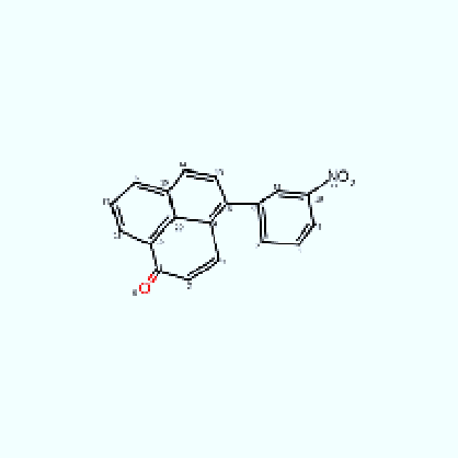 O=C1C=Cc2c(-c3cccc([N+](=O)[O-])c3)ccc3cccc1c23